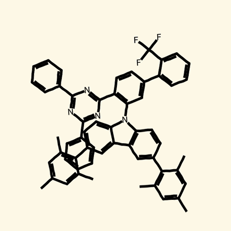 Cc1cc(C)c(-c2ccc3c(c2)c2cc(-c4c(C)cc(C)cc4C)ccc2n3-c2cc(-c3ccccc3C(F)(F)F)ccc2-c2nc(-c3ccccc3)nc(-c3ccccc3)n2)c(C)c1